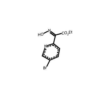 CCOC(=O)/C(=N/O)c1ccc(Br)cn1